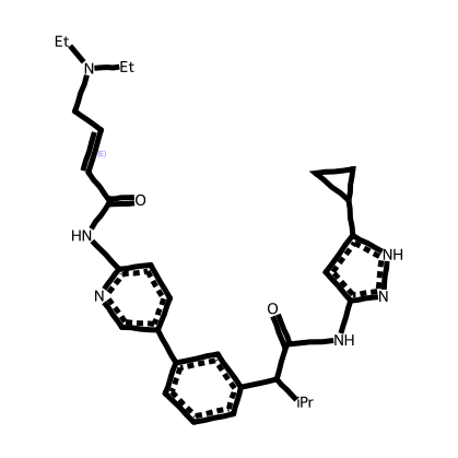 CCN(CC)C/C=C/C(=O)Nc1ccc(-c2cccc(C(C(=O)Nc3cc(C4CC4)[nH]n3)C(C)C)c2)cn1